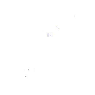 CC1(C)c2ccccc2-c2cc3c(cc21)-c1c(-c2cccc(-c4cccc(C5C=C(c6ccc7c(c6)OC6C=CC=CC76)N=C(c6ccccc6)N5)c4)c2)cccc1C31CCCCC1